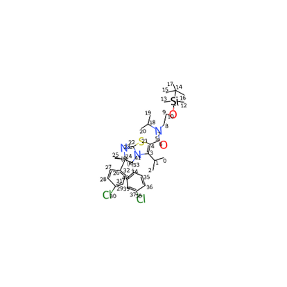 CC(C)C1=C(C(=O)N(CCO[Si](C)(C)C(C)(C)C)C(C)C)SC2=N[C@@](C)(c3ccc(Cl)cc3)[C@@H](c3ccc(Cl)cc3)N21